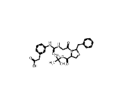 CC(C)(C)OC(=O)C1CSC(Cc2ccccc2)N1C(=O)CNC(=O)Nc1cccc(CC(=O)O)c1